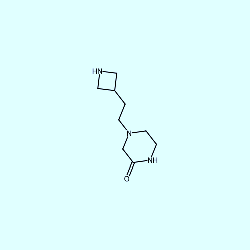 O=C1CN(CCC2CNC2)CCN1